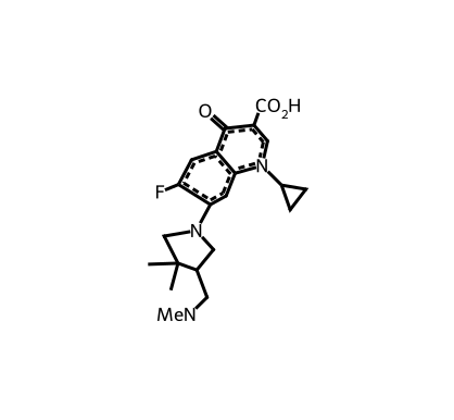 CNCC1CN(c2cc3c(cc2F)c(=O)c(C(=O)O)cn3C2CC2)CC1(C)C